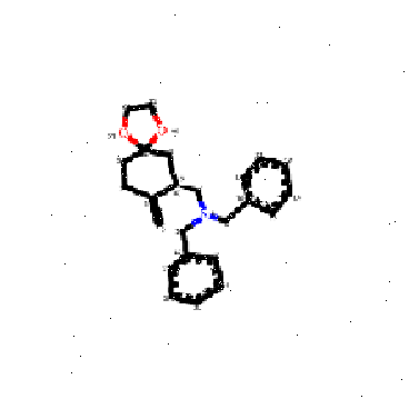 C=C1CCC2(C[C@H]1CN(Cc1ccccc1)Cc1ccccc1)OCCO2